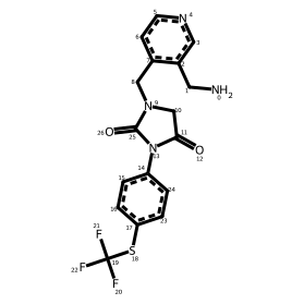 NCc1cnccc1CN1CC(=O)N(c2ccc(SC(F)(F)F)cc2)C1=O